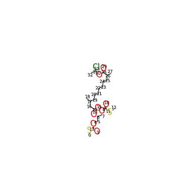 CSC(=O)OCC(COC(=O)SC)OC(=O)CC(C)CCCCCCCC(C)C(=O)OC(C)Cl